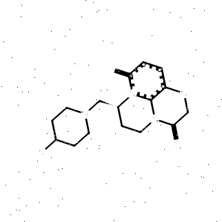 NC1CCN(C[C@@H]2CCN3C(=O)CNc4ccc(=O)n2c43)CC1